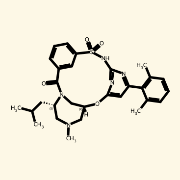 Cc1cccc(C)c1-c1cc2nc(n1)NS(=O)(=O)c1cccc(c1)C(=O)N1C[C@@H](CN(C)C[C@@H]1CC(C)C)O2